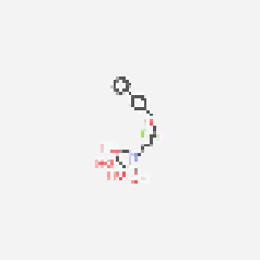 OC[C@@H]1[C@@H](O)C(O)[C@@H](O)CN1CCCC(F)(F)COCc1ccc(-c2ccccc2)cc1